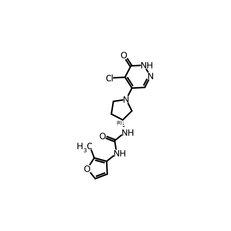 Cc1occc1NC(=O)N[C@@H]1CCN(c2cn[nH]c(=O)c2Cl)C1